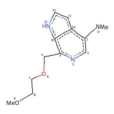 CNc1cnc(COCCOC)c2[nH]ccc12